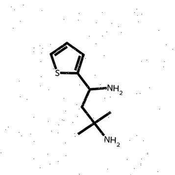 CC(C)(N)CC(N)c1cccs1